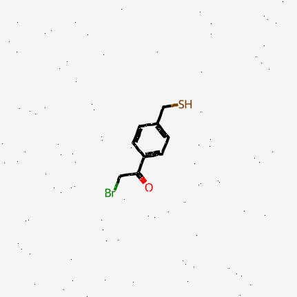 O=C(CBr)c1ccc(CS)cc1